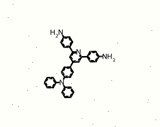 Nc1ccc(-c2cc(-c3ccc(N(c4ccccc4)c4ccccc4)cc3)cc(-c3ccc(N)cc3)n2)cc1